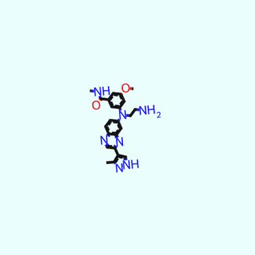 CNC(=O)c1cc(OC)cc(N(CCN)c2ccc3ncc(-c4c[nH]nc4C)nc3c2)c1